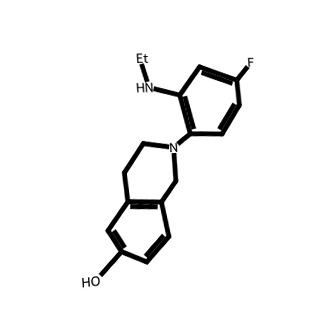 CCNc1cc(F)ccc1N1CCc2cc(O)ccc2C1